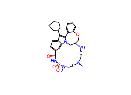 CN1CCNC2COc3ccccc3-c3c(C4CCCCC4)c4ccc(cc4n3C2)C(=O)NS(=O)(=O)N(C)CC1